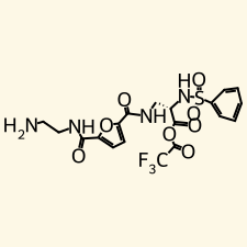 NCCNC(=O)c1ccc(C(=O)NC[C@H](NS(=O)(=O)c2ccccc2)C(=O)OC(=O)C(F)(F)F)o1